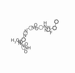 Cn1nc(N2CCC(=O)NC2=O)c2ccc(N3CCN(CC4CCN(C(=O)O[C@H]5CC[C@H](Nc6ncc(F)c(-c7cccc(-c8ccccc8)c7)n6)CC5)CC4)CC3)cc21